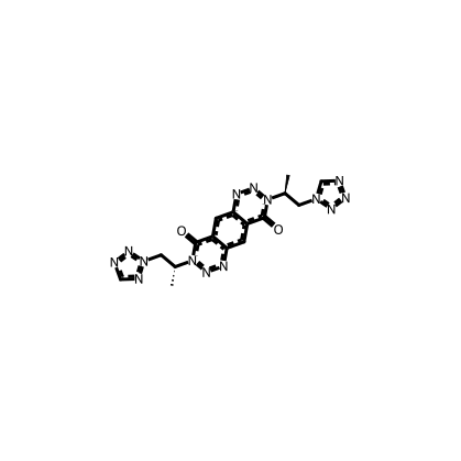 C[C@H](Cn1ncnn1)n1nnc2cc3c(=O)n([C@@H](C)Cn4cnnn4)nnc3cc2c1=O